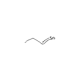 CC[CH]=[Sn]